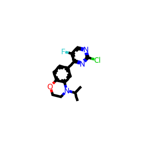 CC(C)N1CCOc2ccc(-c3nc(Cl)ncc3F)cc21